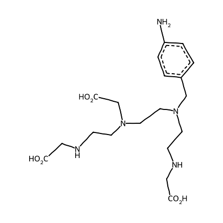 Nc1ccc(CN(CCNCC(=O)O)CCN(CCNCC(=O)O)CC(=O)O)cc1